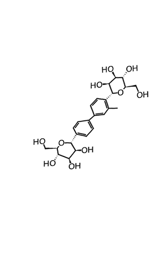 Cc1cc(-c2ccc([C@H]3O[C@H](CO)[C@@H](O)[C@H](O)[C@@H]3O)cc2)ccc1[C@H]1O[C@H](CO)[C@@H](O)[C@H](O)[C@@H]1O